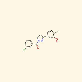 COc1cc(C2=NN(C(=O)c3cccc(F)c3)CC2)ccc1C